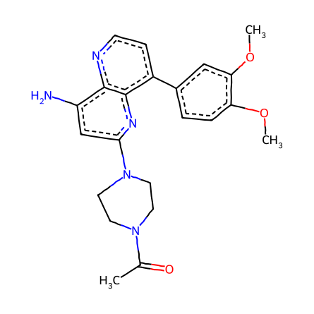 COc1ccc(-c2ccnc3c(N)cc(N4CCN(C(C)=O)CC4)nc23)cc1OC